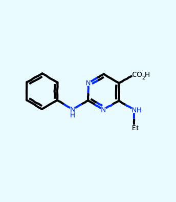 CCNc1nc(Nc2ccccc2)ncc1C(=O)O